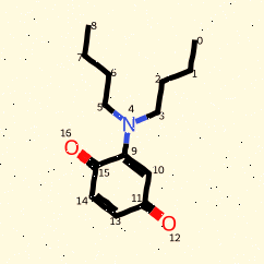 CCCCN(CCCC)C1=CC(=O)C=CC1=O